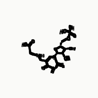 O=C(O)CNCc1cn([C@@H]2O[C@H](COP(=O)(O)O)[C@@H](O)[C@H]2O)c(=S)[nH]c1=O